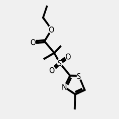 CCOC(=O)C(C)(C)S(=O)(=O)c1nc(C)cs1